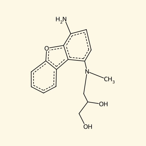 CN(CC(O)CO)c1ccc(N)c2oc3ccccc3c12